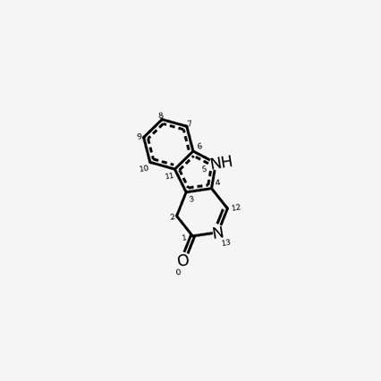 O=C1Cc2c([nH]c3ccccc23)C=N1